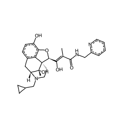 C/C(C(=O)NCc1ccccn1)=C(/O)[C@@H]1Oc2c(O)ccc3c2[C@@]12CCN(CC1CC1)[C@H](C3)[C@@]2(C)O